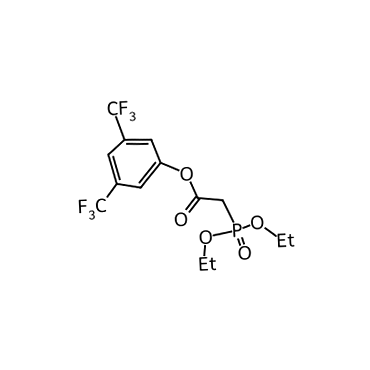 CCOP(=O)(CC(=O)Oc1cc(C(F)(F)F)cc(C(F)(F)F)c1)OCC